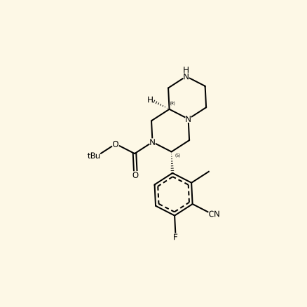 Cc1c([C@H]2CN3CCNC[C@@H]3CN2C(=O)OC(C)(C)C)ccc(F)c1C#N